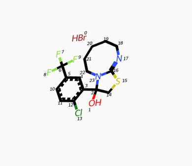 Br.OC1(c2cc(C(F)(F)F)ccc2Cl)CSC2=NCCCCCN21